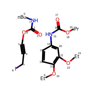 CCCCNC(=O)OC#CCI.CCOc1ccc(NC(=O)OC(C)C)cc1OCC